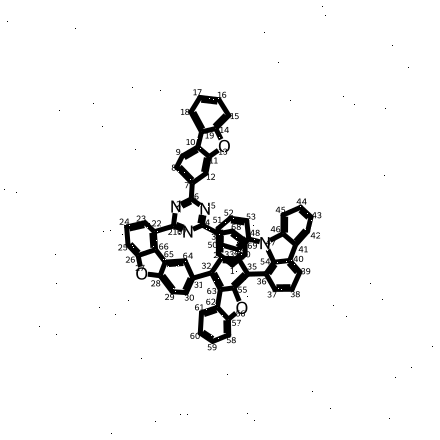 c1ccc(-c2nc(-c3ccc4c(c3)oc3ccccc34)nc(-c3cccc4oc5ccc(-c6ccc(-c7cccc8c9ccccc9n(-c9ccccc9)c78)c7oc8ccccc8c67)cc5c34)n2)cc1